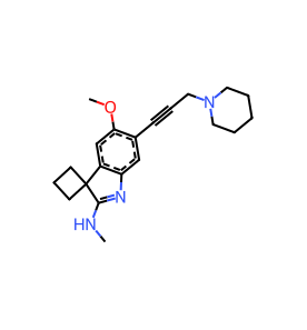 CNC1=Nc2cc(C#CCN3CCCCC3)c(OC)cc2C12CCC2